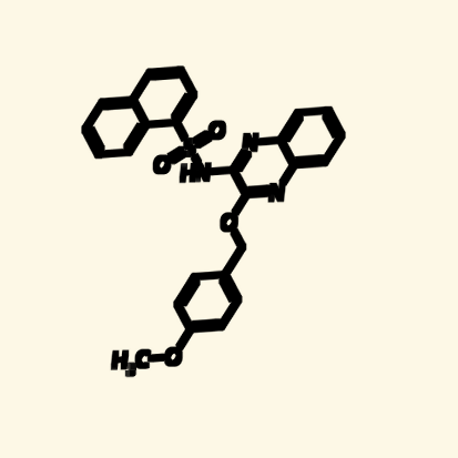 COc1ccc(COc2nc3ccccc3nc2NS(=O)(=O)c2cccc3ccccc23)cc1